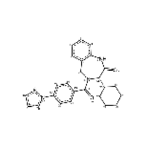 O=C1Nc2ccccc2CN(C(=O)c2ccc(-n3cccn3)cc2)[C@H]1C1CCCCC1